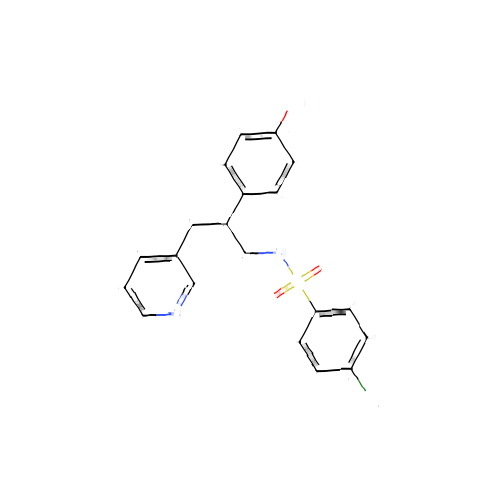 O=S(=O)(NCC(Cc1cccnc1)c1ccc(O)cc1)c1ccc(Cl)cc1